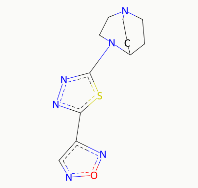 c1nonc1-c1nnc(N2CCN3CCC2CC3)s1